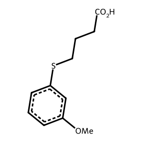 COc1cccc(SCCCC(=O)O)c1